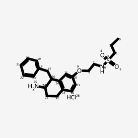 CCCS(=O)(=O)NCCOc1ccc2c(c1)C(Cc1ccccc1)C(N)CC2.Cl